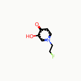 O=c1ccn(CCF)cc1O